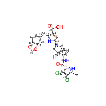 Cc1[nH]c(C(=O)N[C@@H]2[C@@H]3CN(c4nc(Cc5ccc6c(c5)OCO6)c(C(=O)O)s4)C[C@@H]32)c(Cl)c1Cl